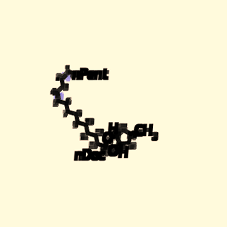 CCCCC/C=C\C/C=C\CCCCCCCCC1(CCCCCCCCCC)O[C@H]2C[C@H](C)C[C@H]2O1